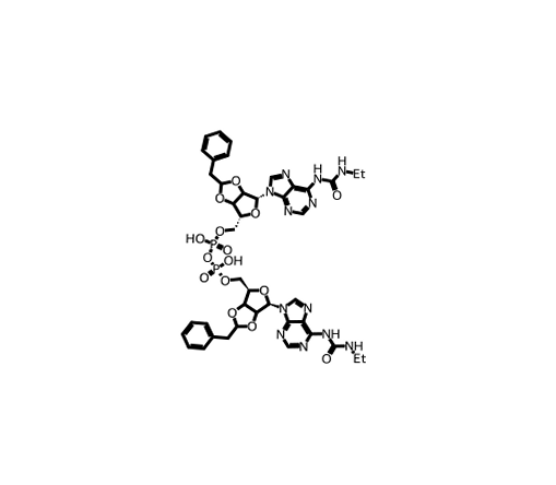 CCNC(=O)Nc1ncnc2c1ncn2[C@@H]1O[C@H](COP(=O)(O)OP(=O)(O)OC[C@H]2O[C@@H](n3cnc4c(NC(=O)NCC)ncnc43)C3OC(Cc4ccccc4)OC32)C2OC(Cc3ccccc3)OC21